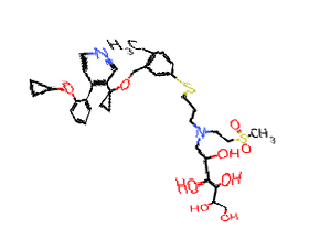 Cc1ccc(SCCCN(CCS(C)(=O)=O)CC(O)C(O)C(O)C(O)CO)cc1COC1(c2cnccc2-c2ccccc2OC2CC2)CC1